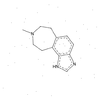 CN1CCc2ccc3nc[nH]c3c2CC1